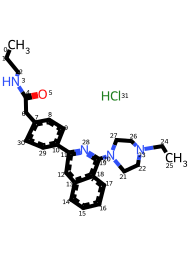 CCCNC(=O)Cc1ccc(-c2cc3ccccc3c(N3CCN(CC)CC3)n2)cc1.Cl